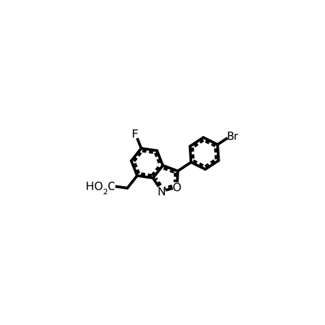 O=C(O)Cc1cc(F)cc2c(-c3ccc(Br)cc3)onc12